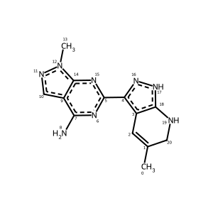 CC1=Cc2c(-c3nc(N)c4cnn(C)c4n3)n[nH]c2NC1